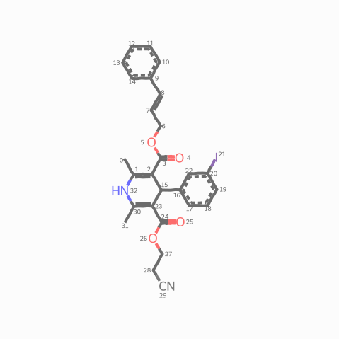 CC1=C(C(=O)OC/C=C/c2ccccc2)C(c2cccc(I)c2)C(C(=O)OCCC#N)=C(C)N1